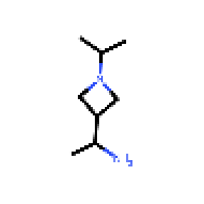 CC(N)C1CN(C(C)C)C1